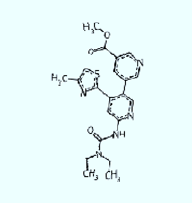 CCN(CC)C(=O)Nc1cc(-c2nc(C)cs2)c(-c2cncc(C(=O)OC)c2)cn1